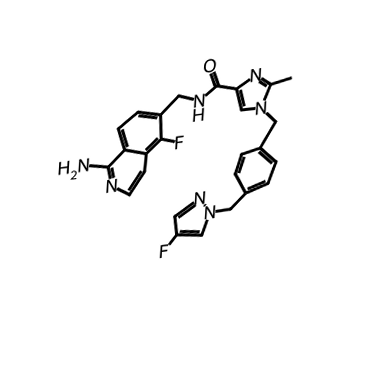 Cc1nc(C(=O)NCc2ccc3c(N)nccc3c2F)cn1Cc1ccc(Cn2cc(F)cn2)cc1